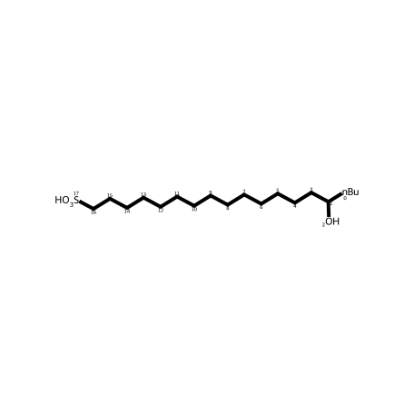 CCCCC(O)CCCCCCCCCCCCCCS(=O)(=O)O